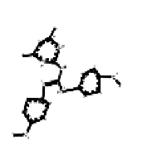 COc1ccc(/N=C(\Nc2ccc(OC)cc2)Nc2nc(C)cc(C)n2)cc1